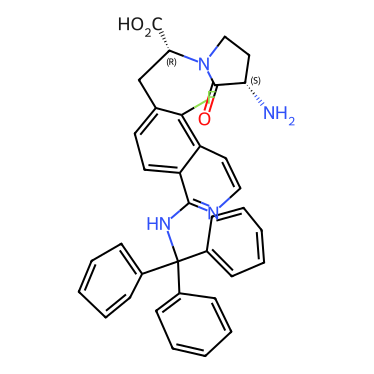 N[C@H]1CCN([C@H](Cc2ccc3c(NC(c4ccccc4)(c4ccccc4)c4ccccc4)nccc3c2F)C(=O)O)C1=O